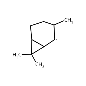 CC1[CH]C2C(CC1)C2(C)C